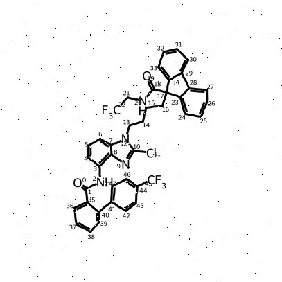 O=C(Nc1cccc2c1nc(Cl)n2CCCCC1(C(=O)NCC(F)(F)F)c2ccccc2-c2ccccc21)c1ccccc1-c1ccc(C(F)(F)F)cc1